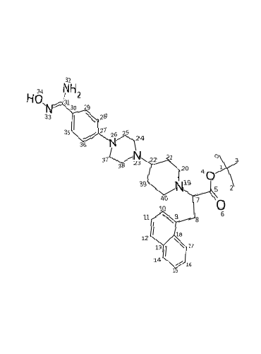 CC(C)(C)OC(=O)C(Cc1cccc2ccccc12)N1CCC(N2CCN(c3ccc(C(N)=NO)cc3)CC2)CC1